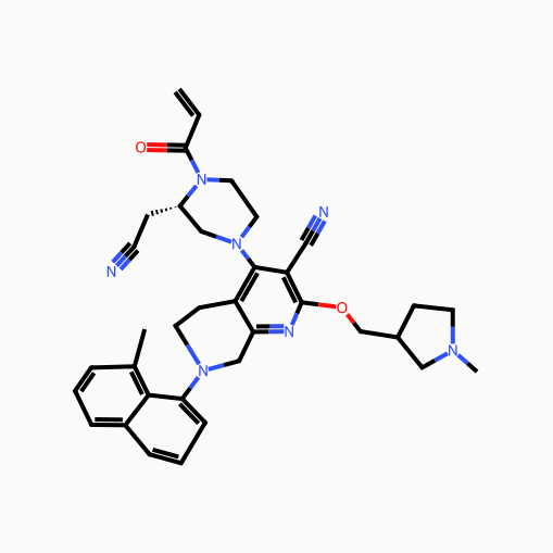 C=CC(=O)N1CCN(c2c(C#N)c(OCC3CCN(C)C3)nc3c2CCN(c2cccc4cccc(C)c24)C3)C[C@@H]1CC#N